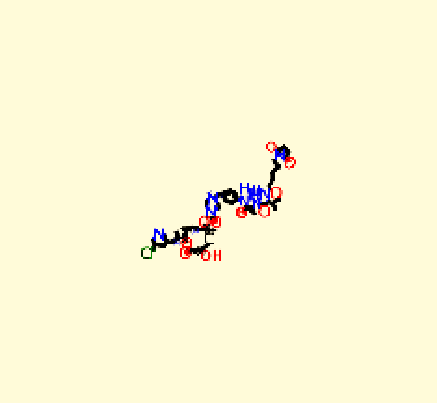 C/C(=C\c1cncc(Cl)c1)[C@H]1OC(=O)C[C@H](O)CC[C@H](C)[C@@H](OC(=O)N2CC[N+](C)(Cc3ccc(NC(=O)C(C)NC(=O)C(NC(=O)CCCCCN4C(=O)C=CC4=O)C(C)C)cc3)CC2)/C=C/[C@@H]1C